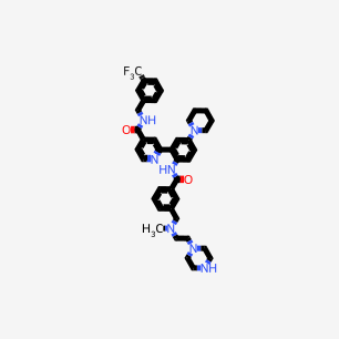 CN(CCN1CCNCC1)Cc1cccc(C(=O)Nc2ccc(N3CCCCC3)cc2-c2cc(C(=O)NCc3cccc(C(F)(F)F)c3)ccn2)c1